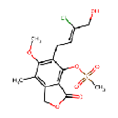 COc1c(C)c2c(c(OS(C)(=O)=O)c1CC=C(Cl)CO)C(=O)OC2